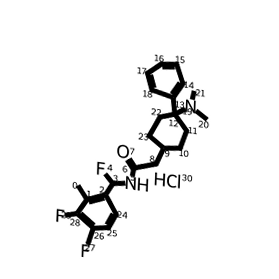 Cc1c(C(F)NC(=O)CC2CCC(c3ccccc3)(N(C)C)CC2)ccc(F)c1F.Cl